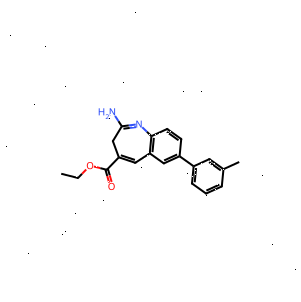 CCOC(=O)C1=Cc2cc(-c3cccc(C)c3)ccc2N=C(N)C1